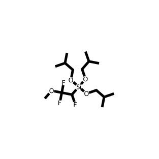 COC(F)(F)C(F)[Si](OCC(C)C)(OCC(C)C)OCC(C)C